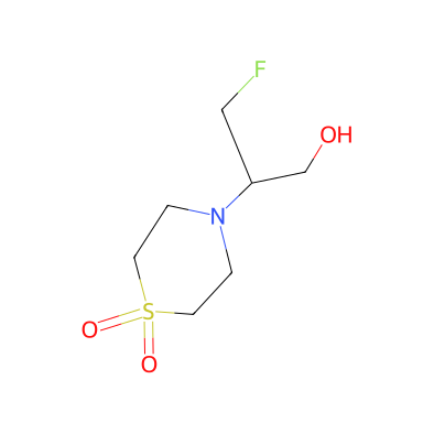 O=S1(=O)CCN(C(CO)CF)CC1